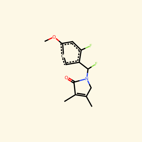 COc1ccc(C(F)N2CC(C)=C(C)C2=O)c(F)c1